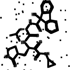 CC(C)C[C@H](NC(=O)C1(O)c2ccccc2-c2ccccc21)C(=O)N[C@H](C[C@@H]1CCNC1=O)C(=O)C(=O)NC1CC1